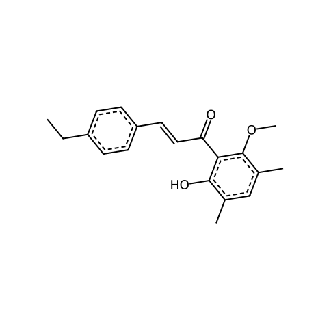 CCc1ccc(/C=C/C(=O)c2c(O)c(C)cc(C)c2OC)cc1